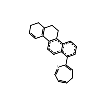 C1=CCC=C(c2cccc3c4c(ccc23)C2=C(CCC=C2)CC4)N=C1